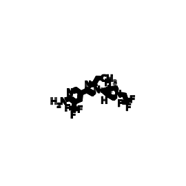 CCc1nc(-c2cnc(N)c(C(F)(F)F)c2)cn1[C@H]1[C@@H]2CN(CC(F)(F)F)C[C@@H]21